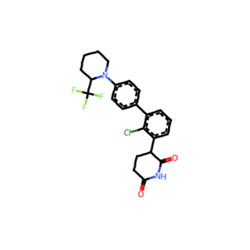 O=C1CCC(c2cccc(-c3ccc(N4CCCCC4C(F)(F)F)cc3)c2Cl)C(=O)N1